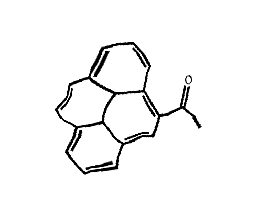 CC(=O)C1=C2C=CC=C3C=CC4=CC=CC(=C1)C4C32